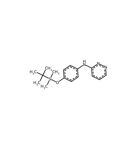 CC(C)(C)[Si](C)(C)Oc1ccc(Nc2cccnn2)cc1